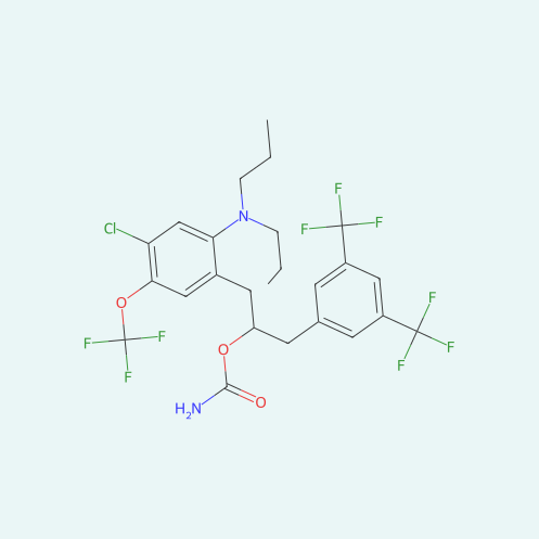 CCCN(CCC)c1cc(Cl)c(OC(F)(F)F)cc1CC(Cc1cc(C(F)(F)F)cc(C(F)(F)F)c1)OC(N)=O